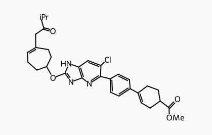 COC(=O)C1CC=C(c2ccc(-c3nc4nc(OC5CCC=C(CC(=O)C(C)C)CC5)[nH]c4cc3Cl)cc2)CC1